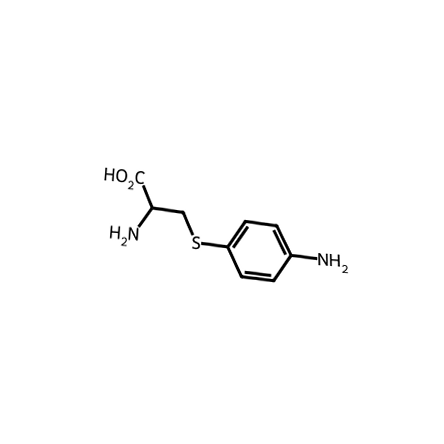 Nc1ccc(SCC(N)C(=O)O)cc1